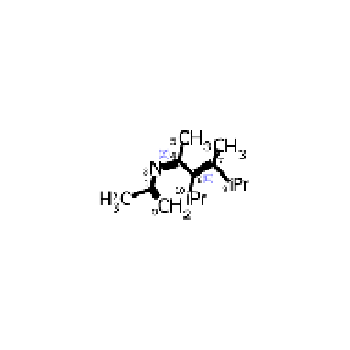 C=C(C)/N=C(C)\C(=C(/C)C(C)C)C(C)C